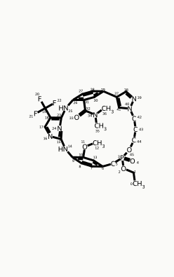 CCOP1(=O)Cc2ccc(c(OC)c2)Nc2ncc(C(F)(F)F)c(n2)Nc2ccc(cc2C(=O)N(C)C)-c2cnn(c2)CCCO1